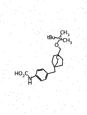 CC(C)(C)[Si](C)(C)OCC12CCC(Cc3ccc(NC(=O)O)cc3)(CC1)CC2